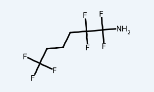 NC(F)(F)C(F)(F)CCCC(F)(F)F